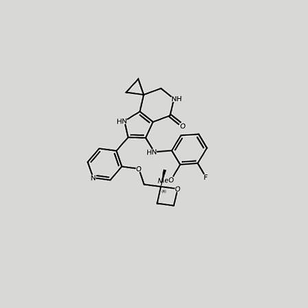 COc1c(F)cccc1Nc1c(-c2ccncc2OC[C@@]2(C)CCO2)[nH]c2c1C(=O)NCC21CC1